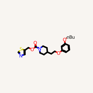 CCCCOc1cccc(OCCC2CCN(C(=O)OCc3cncs3)CC2)c1